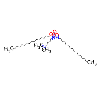 CCCCCCCCCCCCCCCCOP(=O)(NCCCCN(C)C)OCCCCCCCCCCCCCCCC